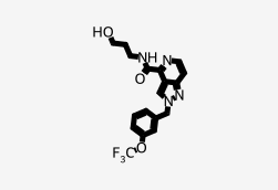 O=C(NCCCO)c1nccc2nn(Cc3cccc(OC(F)(F)F)c3)cc12